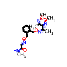 CNC(=O)/C=N/OCc1ccccc1CO\N=C(C)/C(=N/OC)C(/C)=N\OC